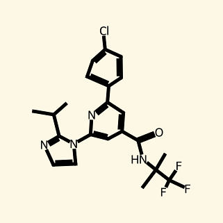 CC(C)c1nccn1-c1cc(C(=O)NC(C)(C)C(F)(F)F)cc(-c2ccc(Cl)cc2)n1